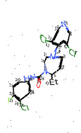 CCC1CCN(c2c(Cl)cncc2Cl)CCN1C(=O)Nc1ccc(F)c(Cl)c1